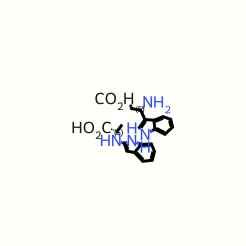 C[C@H](Nc1cc2ccccc2[nH]1)C(=O)O.N[C@@H](CC(=O)O)c1c[nH]c2ccccc12